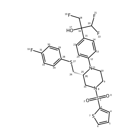 O=S(=O)(c1cccs1)N1CCN(c2ccc(C(O)(CF)C(F)F)cc2)[C@@H](CSc2ccc(F)cc2)C1